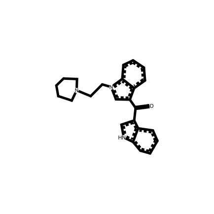 O=C(c1c[nH]c2ccccc12)c1cn(CCN2CCCCC2)c2ccccc12